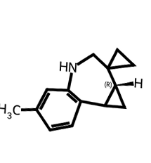 Cc1ccc2c(c1)NCC1(CC1)[C@@H]1CC21